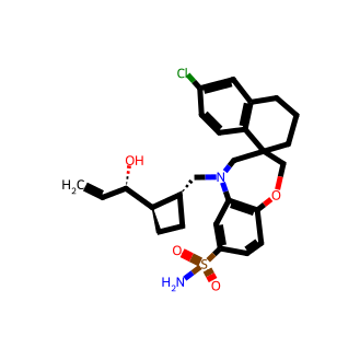 C=C[C@H](O)[C@@H]1CC[C@H]1CN1CC2(CCCc3cc(Cl)ccc32)COc2ccc(S(N)(=O)=O)cc21